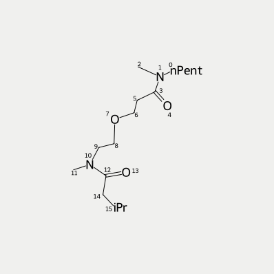 CCCCCN(C)C(=O)CCOCCN(C)C(=O)CC(C)C